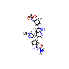 CCn1cc(-c2ccnc3[nH]c(-c4cccc(NS(C)(=O)=O)c4)cc23)c(-c2ccc(NC(=O)N(C)C)cc2)n1